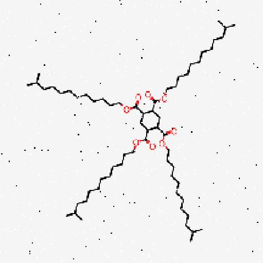 CC(C)CCCCCCCCCCOC(=O)C1CC(C(=O)OCCCCCCCCCCC(C)C)C(C(=O)OCCCCCCCCCCC(C)C)CC1C(=O)OCCCCCCCCCCC(C)C